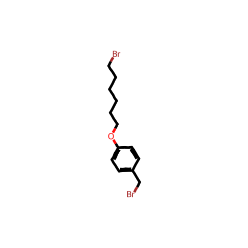 BrCCCCCCOc1ccc(CBr)cc1